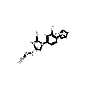 [N-]=[N+]=NC[C@H]1CN(c2ccc(N3C4CSC3C4)c(F)c2)C(=O)O1